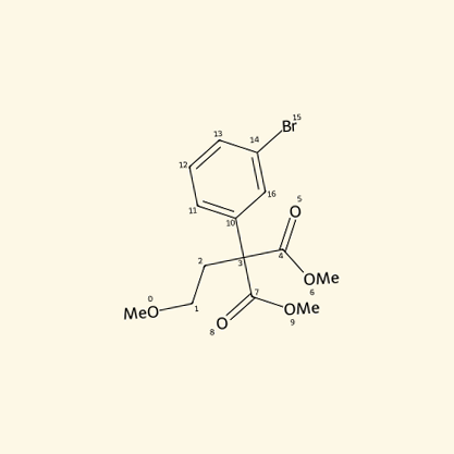 COCCC(C(=O)OC)(C(=O)OC)c1cccc(Br)c1